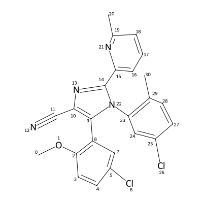 COc1ccc(Cl)cc1-c1c(C#N)nc(-c2cccc(C)n2)n1-c1cc(Cl)ccc1C